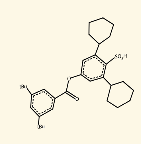 CC(C)(C)c1cc(C(=O)Oc2cc(C3CCCCC3)c(S(=O)(=O)O)c(C3CCCCC3)c2)cc(C(C)(C)C)c1